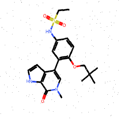 CCS(=O)(=O)Nc1ccc(OCC(C)(C)C)c(-c2cn(C)c(=O)c3[nH]ccc23)c1